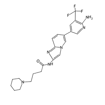 Nc1ncc(-c2ccc3nc(NC(=O)CCCN4CCCCC4)cn3c2)cc1C(F)(F)F